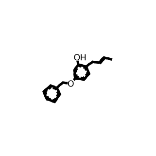 CC=CCc1ccc(OCc2ccccc2)cc1O